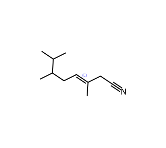 C/C(=C\CC(C)C(C)C)CC#N